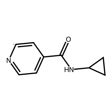 O=C(NC1CC1)c1c[c]ncc1